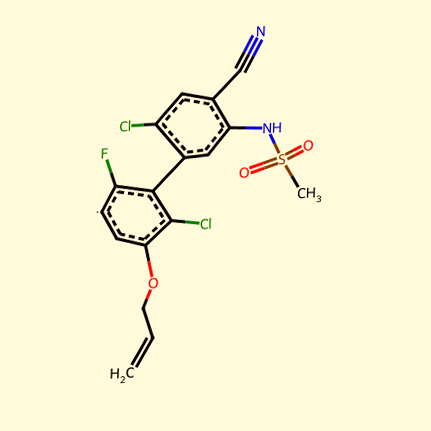 C=CCOc1c[c]c(F)c(-c2cc(NS(C)(=O)=O)c(C#N)cc2Cl)c1Cl